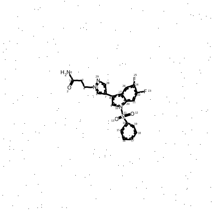 NC(=O)CCn1cc(-c2cn(S(=O)(=O)c3ccccc3)c3cc(F)c(F)cc23)cn1